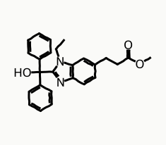 CCn1c(C(O)(c2ccccc2)c2ccccc2)nc2ccc(CCC(=O)OC)cc21